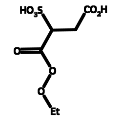 CCOOC(=O)C(CC(=O)O)S(=O)(=O)O